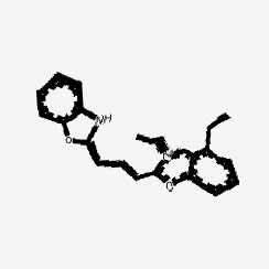 CCc1cccc2oc(C=CC=C3Nc4ccccc4O3)[n+](CC)c12